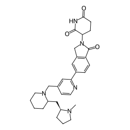 CN1CCC[C@H]1CC1CCCCN1Cc1ccnc(-c2ccc3c(c2)CN(C2CCC(=O)NC2=O)C3=O)c1